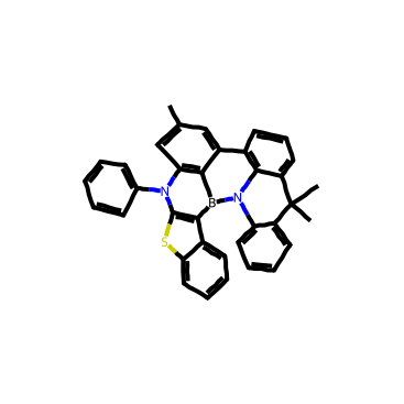 Cc1cc2c3c(c1)N(c1ccccc1)c1sc4ccccc4c1B3N1c3ccccc3C(C)(C)c3cccc-2c31